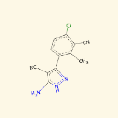 Cc1c(-c2n[nH]c(N)c2C#N)ccc(Cl)c1C#N